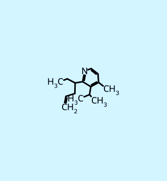 C=CCC(CC)c1nccc(C)c1C(C)C